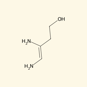 NC=C(N)CCO